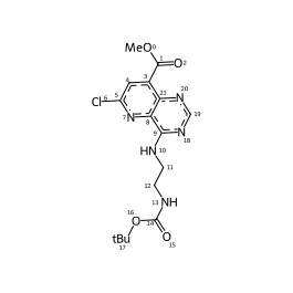 COC(=O)c1cc(Cl)nc2c(NCCNC(=O)OC(C)(C)C)ncnc12